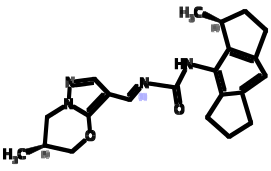 C[C@@H]1COc2c(/C=N/C(=O)Nc3c4c(cc5c3[C@@H](C)CC5)CCC4)cnn2C1